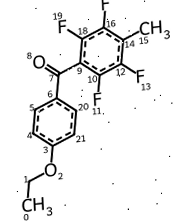 CCOc1ccc(C(=O)c2c(F)c(F)c(C)c(F)c2F)cc1